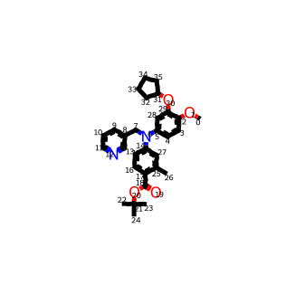 COc1ccc(N(Cc2cccnc2)c2ccc(C(=O)OC(C)(C)C)c(C)c2)cc1OC1CCCC1